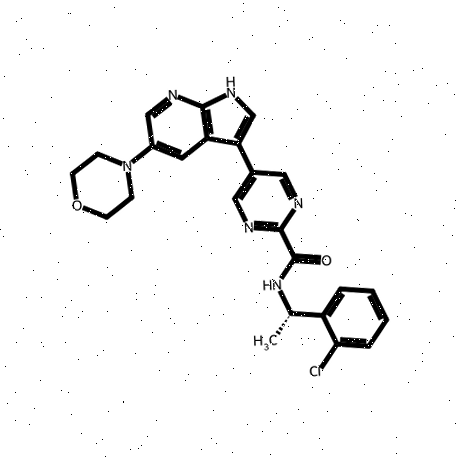 C[C@H](NC(=O)c1ncc(-c2c[nH]c3ncc(N4CCOCC4)cc23)cn1)c1ccccc1Cl